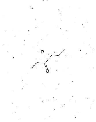 [CH2]CC(=O)CCC.[Ti]